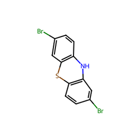 Brc1ccc2c(c1)Nc1ccc(Br)cc1S2